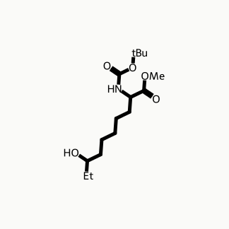 CCC(O)CCCCCC(NC(=O)OC(C)(C)C)C(=O)OC